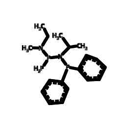 CCN(C)P(P)N(C(C)C)P(c1ccccc1)c1ccccc1